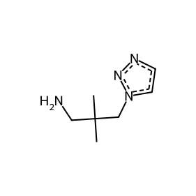 CC(C)(CN)Cn1ccnn1